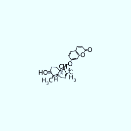 CC1=CC[C@@H]2[C@@H](C)[C@@H](O)CC[C@]2(C)[C@H]1COc1ccc2ccc(=O)oc2c1